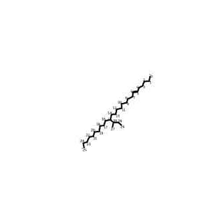 [CH2]CCCC/C=C/CCCCCCCCC(CCCCCCCCC[CH2])C(C)CC